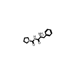 N[C@@H](Cc1ccccc1)C(=O)NC(=O)N1CCCC1